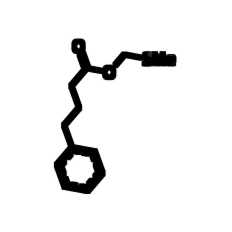 CSCOC(=O)CCCc1ccccc1